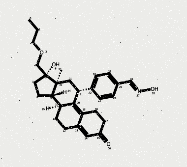 CCCOC[C@]1(O)CC[C@H]2[C@@H]3CCC4=CC(=O)CCC4=C3[C@@H](c3ccc(C=NO)cc3)C[C@@]21C